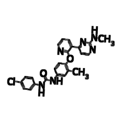 CNc1nccc(-c2cccnc2Oc2ccc(NC(=O)Nc3ccc(Cl)cc3)cc2C)n1